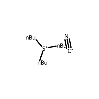 CCCC[S+](CCCC)CCCC.[C-]#N